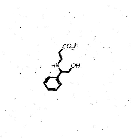 O=C(O)CCNC(CO)c1ccccc1